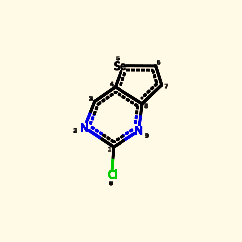 Clc1ncc2[se]ccc2n1